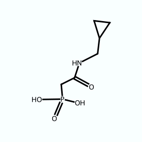 O=C(CP(=O)(O)O)NCC1CC1